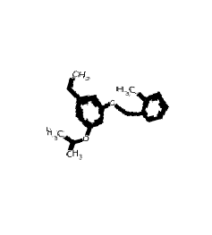 C=Cc1cc(OCc2ccccc2C)cc(OC(C)C)c1